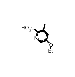 CCOc1cnc(C(=O)O)c(C)c1